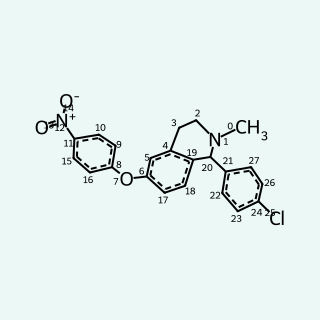 CN1CCc2cc(Oc3ccc([N+](=O)[O-])cc3)ccc2C1c1ccc(Cl)cc1